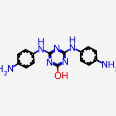 Nc1ccc(Nc2nc(O)nc(Nc3ccc(N)cc3)n2)cc1